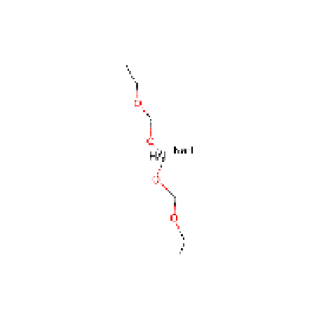 CCOC[O][AlH][O]COCC.[NaH]